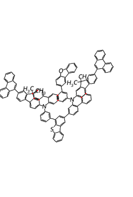 CC1(C)c2cc(-c3cc4ccccc4c4ccccc34)ccc2-c2ccc(N(c3cccc(-c4cc(-c5ccc(-c6ccccc6)c(N(c6cccc(-c7ccc8oc9ccccc9c8c7)c6)c6ccc7c(c6)C(C)(C)c6cc(-c8cc9ccccc9c9ccccc89)ccc6-7)c5)cc5c4sc4ccccc45)c3)c3ccccc3-c3ccccc3)cc21